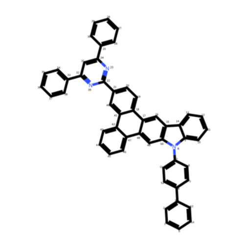 c1ccc(-c2ccc(-n3c4ccccc4c4cc5c6ccc(-c7nc(-c8ccccc8)cc(-c8ccccc8)n7)cc6c6ccccc6c5cc43)cc2)cc1